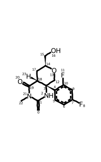 C=C1N[C@@]2(c3ccc(F)cc3F)CO[C@H](CO)C[C@H]2C(=O)N1C